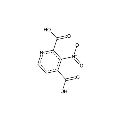 O=C(O)c1ccnc(C(=O)O)c1[N+](=O)[O-]